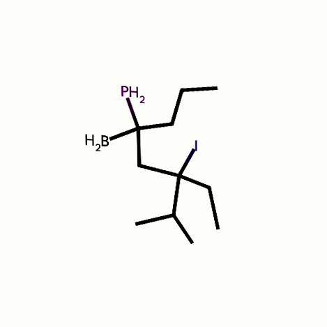 BC(P)(CCC)CC(I)(CC)C(C)C